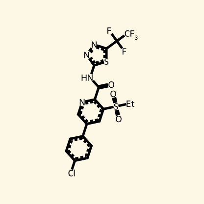 CCS(=O)(=O)c1cc(-c2ccc(Cl)cc2)cnc1C(=O)Nc1nnc(C(F)(F)C(F)(F)F)s1